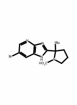 CC(C)(C)C1(c2nc3ncc(Br)cc3[nH]2)CCCN1C(=O)O